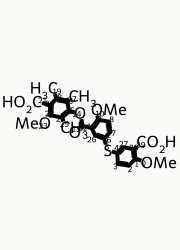 COc1ccc(Sc2ccc(OC)c(C(=O)Oc3c(C)c(C)c(C(=O)O)c(OC)c3C)c2)cc1C(=O)O